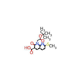 CSc1ccc2cc(C(=O)O)c(=O)n(CC(=O)OC(C)(C)C)c2n1